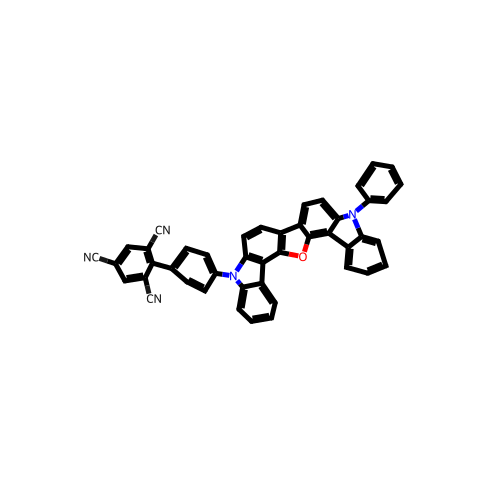 N#Cc1cc(C#N)c(-c2ccc(-n3c4ccccc4c4c5oc6c(ccc7c6c6ccccc6n7-c6ccccc6)c5ccc43)cc2)c(C#N)c1